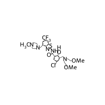 COCCN(CCOC)Cc1cc(Cl)cc(C(=O)Nc2nc3c(CN4CCN(C)CC4)cc(C(F)(F)F)cc3s2)c1O